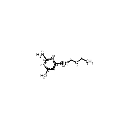 CCOCC.Cc1cc(O)nc(N)n1